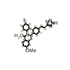 COc1ccc2c(c1)CC(c1ccc(/C=C/c3nn[nH]n3)cc1)N(c1ccc(F)cc1)C2C